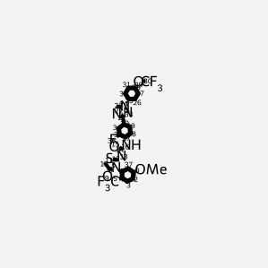 COc1ccc(C(F)(F)F)c(N2C(=O)CSC2=NC(=O)Nc2ccc(-c3ncn(-c4ccc(OC(F)(F)F)cc4)n3)cc2F)c1